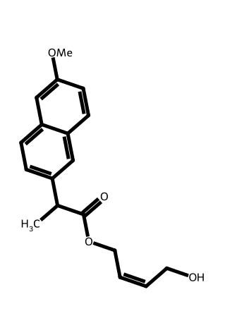 COc1ccc2cc(C(C)C(=O)OC/C=C\CO)ccc2c1